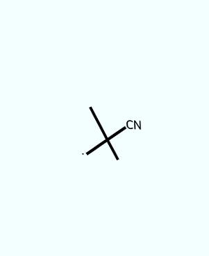 [CH2]C(C)(C)C#N